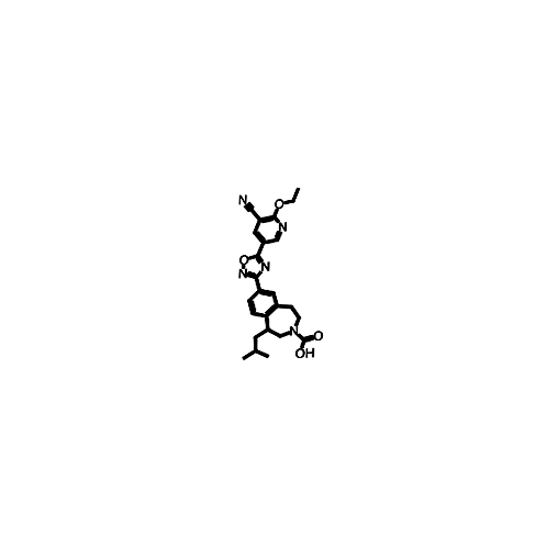 CCOc1ncc(-c2nc(-c3ccc4c(c3)CCN(C(=O)O)CC4CC(C)C)no2)cc1C#N